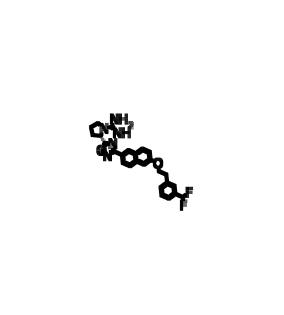 N=C(N)N1CCC[C@H]1c1nc(-c2ccc3cc(OCCc4cccc(C(F)F)c4)ccc3c2)no1